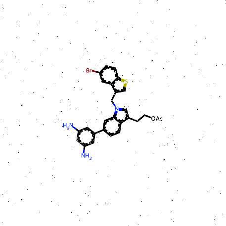 CC(=O)OCCc1cn(Cc2csc3ccc(Br)cc23)c2cc(-c3cc(N)cc(N)c3)ccc12